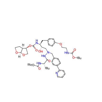 COC(=O)N[C@H](C(=O)NN(Cc1ccc(-c2ccccn2)cc1)C[C@H](O)[C@H](Cc1ccc(OCCNC(=O)OC(C)(C)C)cc1)NC(=O)O[C@H]1CO[C@H]2OCC[C@H]21)C(C)(C)C